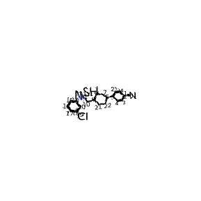 N#Cc1ccc(C2CCC(C/C(S)=N\c3cccc(Cl)c3)CC2)cc1